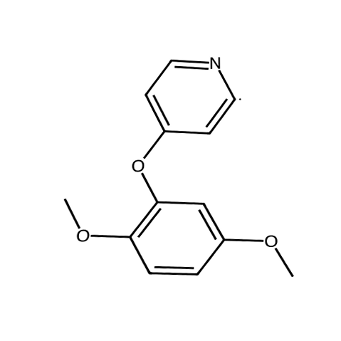 COc1ccc(OC)c(Oc2c[c]ncc2)c1